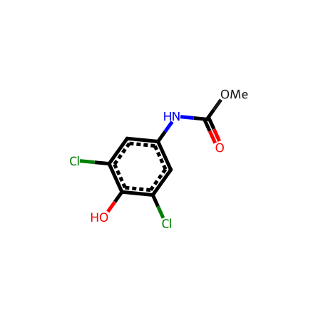 COC(=O)Nc1cc(Cl)c(O)c(Cl)c1